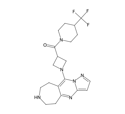 O=C(C1CN(c2c3c(nc4ccnn24)CCNCC3)C1)N1CCC(C(F)(F)F)CC1